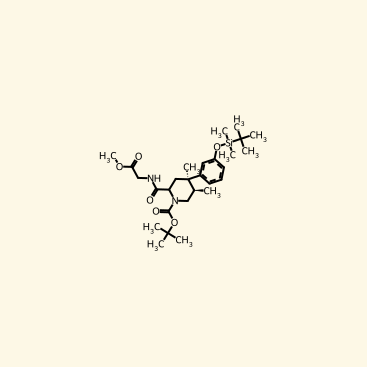 COC(=O)CNC(=O)C1C[C@@](C)(c2cccc(O[Si](C)(C)C(C)(C)C)c2)[C@@H](C)CN1C(=O)OC(C)(C)C